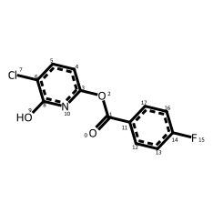 O=C(Oc1ccc(Cl)c(O)n1)c1ccc(F)cc1